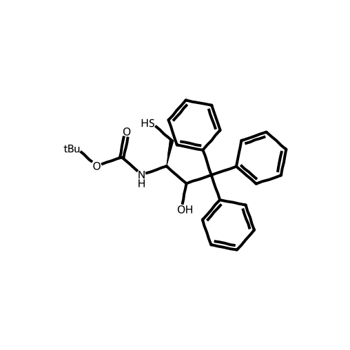 CC(C)(C)OC(=O)N[C@@H](CS)C(O)C(c1ccccc1)(c1ccccc1)c1ccccc1